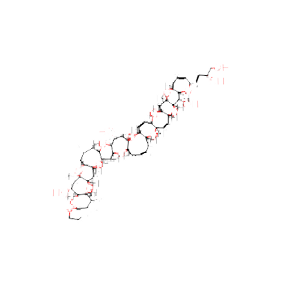 C[C@@H]1C[C@@H]2O[C@@H]3[C@@H](C)[C@H](O)[C@@H]4O[C@@]5(CCCO5)[C@@H](C)[C@H](C)[C@H]4O[C@H]3C[C@H]2O[C@H]2C[C@H]3O[C@H]4C/C=C\C[C@H]5O[C@H]6C=C[C@H]7O[C@H]8[C@H](O)[C@H]9O[C@@H](/C=C/[C@H](O)CO)C=CC[C@@H]9O[C@@H]8C[C@@H]7O[C@@H]6C=C[C@@H]5O[C@@H]4C[C@@H](O)[C@]3(C)O[C@@H]2C1